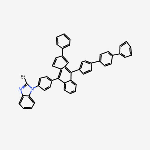 CCc1nc2ccccc2n1-c1ccc(-c2c3ccccc3c(-c3ccc(-c4ccc(-c5ccccc5)cc4)cc3)c3cc(-c4ccccc4)ccc23)cc1